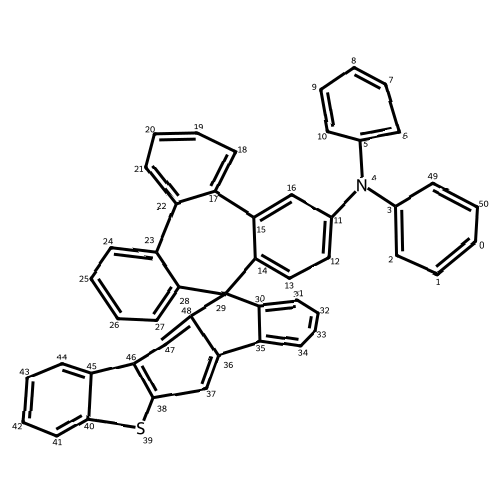 c1ccc(N(c2ccccc2)c2ccc3c(c2)-c2ccccc2-c2ccccc2C32c3ccccc3-c3cc4sc5ccccc5c4cc32)cc1